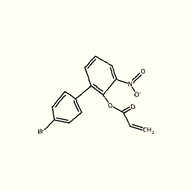 C=CC(=O)Oc1c(-c2ccc(Br)cc2)cccc1[N+](=O)[O-]